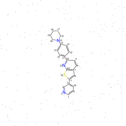 c1cncc(-c2cc3ccc(-c4ccc(N5CCCCC5)cc4)nc3s2)c1